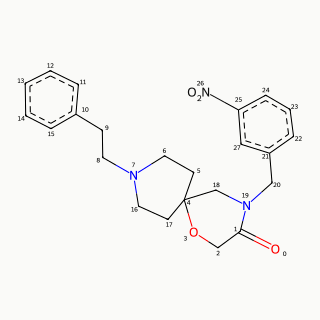 O=C1COC2(CCN(CCc3ccccc3)CC2)CN1Cc1cccc([N+](=O)[O-])c1